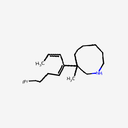 C/C=C\C(=C/CCC(C)C)C1(C)CCCCCNC1